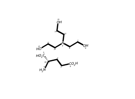 N[C@@H](CCC(=O)O)C(=O)O.OCCN(CCO)CCO